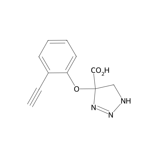 C#Cc1ccccc1OC1(C(=O)O)CNN=N1